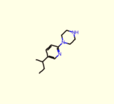 CCC(C)c1ccc(N2CCNCC2)nc1